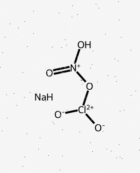 O=[N+](O)O[Cl+2]([O-])[O-].[NaH]